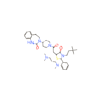 CN(C)CCCN(C)c1ccccc1C1SC(CC(=O)N2CCC(N3CCc4ccccc4NC3=O)CC2)C(=O)N1CCC(C)(C)C